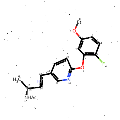 CCOc1ccc(F)c(Oc2ccc(/C=C/[C@H](C)NC(C)=O)cn2)c1